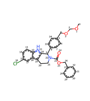 COCOCc1ccc(C2c3[nH]c4ccc(Cl)cc4c3CCN2C(=O)OCc2ccccc2)cc1